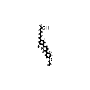 C=CCOc1ccc(-c2ccc(-c3ccc(C=CCCCC(C)O)cc3F)nc2)cc1